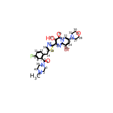 CN1CCN(C(=O)c2cc(F)ccc2Cc2cnc(-c3nc4c(Br)cc(N5CCOCC5)cn4c(=O)c3O)s2)CC1